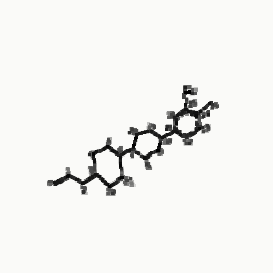 C=CCC1CCC(C2CCC(c3ccc(C)c(F)c3)CC2)CC1